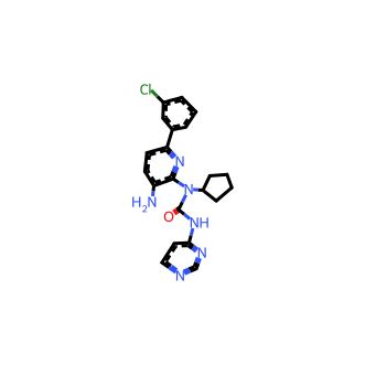 Nc1ccc(-c2cccc(Cl)c2)nc1N(C(=O)Nc1ccncn1)C1CCCC1